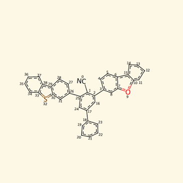 N#Cc1c(-c2ccc3c(c2)oc2ccccc23)cc(-c2ccccc2)cc1-c1ccc2c(c1)sc1ccccc12